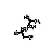 CC(O)C(=O)O.CCC(O)CO